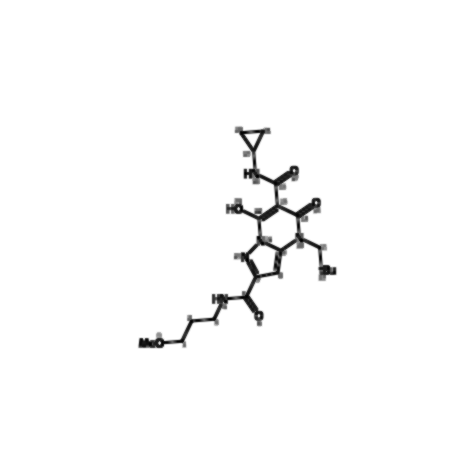 COCCCNC(=O)c1cc2n(CC(C)(C)C)c(=O)c(C(=O)NC3CC3)c(O)n2n1